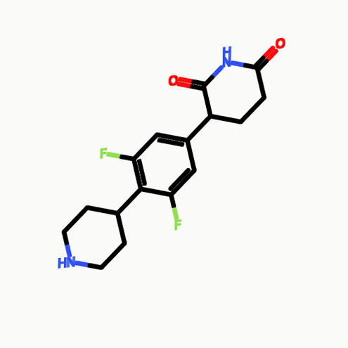 O=C1CCC(c2cc(F)c(C3CCNCC3)c(F)c2)C(=O)N1